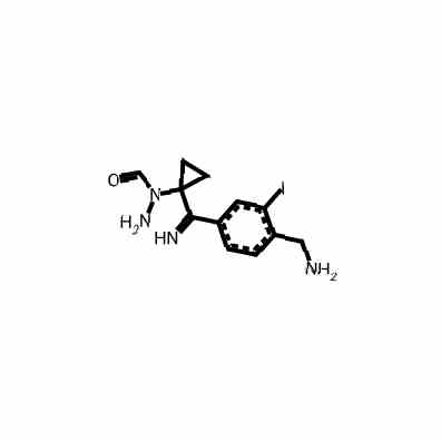 N=C(c1ccc(CN)c(I)c1)C1(N(N)C=O)CC1